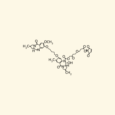 C=C1C[C@H]2C=Nc3cc(OCCCCCOc4cc5c(cc4C)C(=O)N4CC(=C)C[C@H]4[C@H](O)N5C(=O)OCC(=O)CCOCCC(=O)ON4C(=O)C=CC4=O)c(OC)cc3C(=O)N2C1